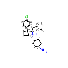 CC(C)CC(NC[C@H]1CC[C@H](N)CC1)C1(c2ccc(Cl)cc2)CCC1